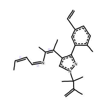 C=Cc1ccc(C)c(-c2nn(C(C)(C)C(=C)C)cc2\C(C)=C(C)/N=C\C=C/C)c1